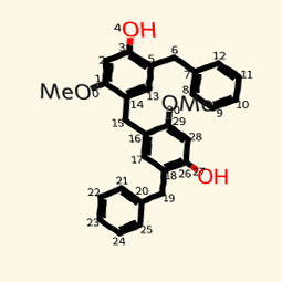 COc1cc(O)c(Cc2ccccc2)cc1Cc1cc(Cc2ccccc2)c(O)cc1OC